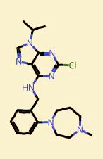 CC(C)n1cnc2c(NCc3ccccc3N3CCCN(C)CC3)nc(Cl)nc21